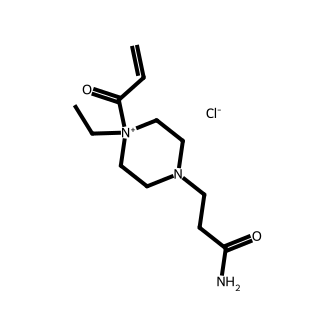 C=CC(=O)[N+]1(CC)CCN(CCC(N)=O)CC1.[Cl-]